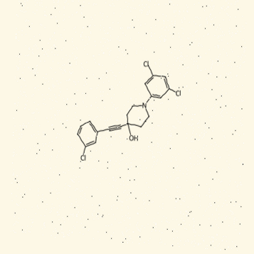 OC1(C#Cc2cccc(Cl)c2)CCN(c2cc(Cl)cc(Cl)c2)CC1